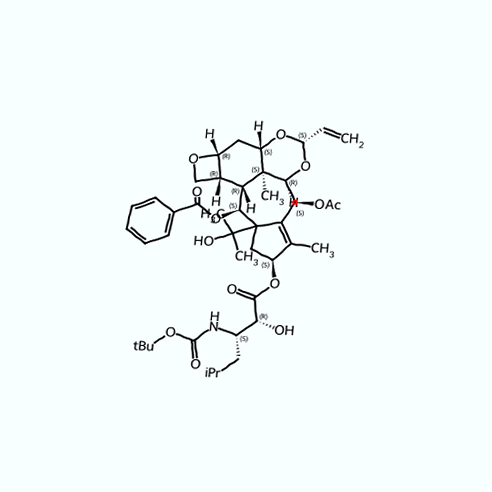 C=C[C@H]1O[C@H]2C[C@H]3OC[C@H]3[C@H]3[C@H](OC(=O)c4ccccc4)C4(C(C)(C)O)C[C@H](OC(=O)[C@H](O)[C@H](CC(C)C)NC(=O)OC(C)(C)C)C(C)=C4[C@H](OC(C)=O)[C@H](O1)[C@@]32C